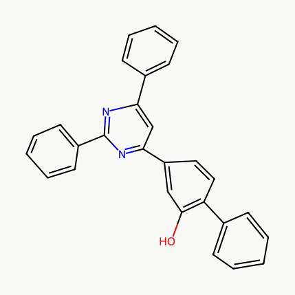 Oc1cc(-c2cc(-c3ccccc3)nc(-c3ccccc3)n2)ccc1-c1ccccc1